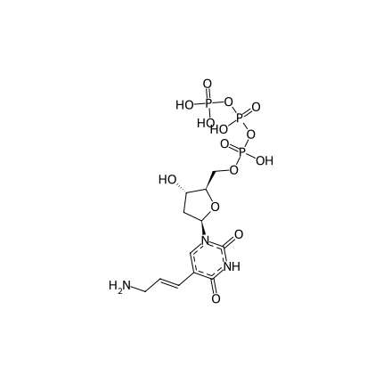 NCC=Cc1cn([C@H]2C[C@H](O)[C@@H](COP(=O)(O)OP(=O)(O)OP(=O)(O)O)O2)c(=O)[nH]c1=O